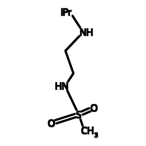 CC(C)NCCNS(C)(=O)=O